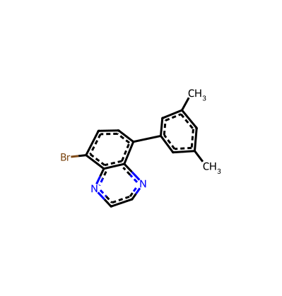 Cc1cc(C)cc(-c2ccc(Br)c3nccnc23)c1